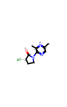 Cc1cnc(N2CC[C@H](Br)C2=O)c(C)n1